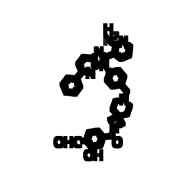 Nc1ncccc1-c1nc2ccc(-c3ccccc3)nc2n1-c1ccc(CN2CCC3(CC2)CN(C(=O)c2ccc(C=O)c(O)c2)C3)cc1